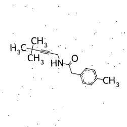 Cc1ccc(CC(=O)NCC#CC(C)(C)C)cc1